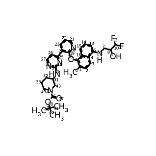 Cc1ccc2c(NCC(O)C(F)F)cccc2c1Oc1ncccc1-c1ccnc(NC2CCCN(C(=O)OC(C)(C)C)C2)n1